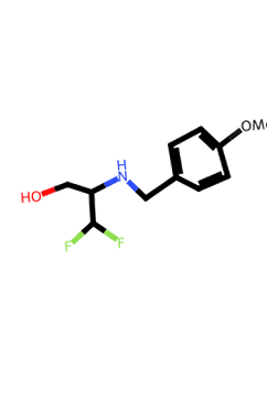 COc1ccc(CNC(CO)C(F)F)cc1